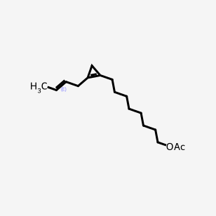 C/C=C/CC1=C(CCCCCCCCOC(C)=O)C1